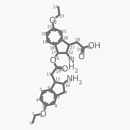 CCOc1ccc2c(c1)CC(N)C2CC(=O)OC1c2ccc(OCC)cc2C(CC(=O)O)C1N